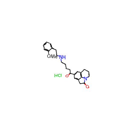 COc1ccccc1CCNCCCCC(=O)c1cc2c3c(c1)CC(=O)N3CCC2.Cl